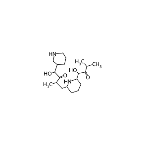 CC(C)C(=O)C(O)C1CCCC(CC(C)C(=O)C(O)C2CCCNC2)N1